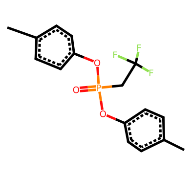 Cc1ccc(OP(=O)(CC(F)(F)F)Oc2ccc(C)cc2)cc1